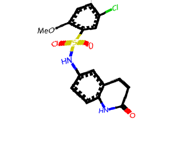 COc1ccc(Cl)cc1S(=O)(=O)Nc1ccc2c(c1)CCC(=O)N2